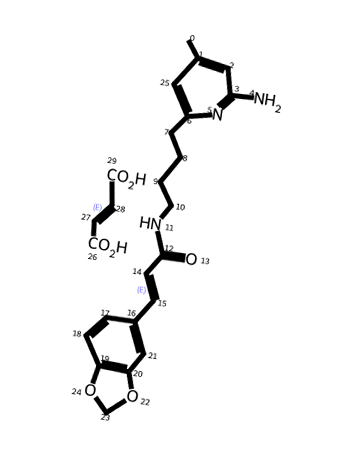 Cc1cc(N)nc(CCCCNC(=O)/C=C/c2ccc3c(c2)OCO3)c1.O=C(O)/C=C/C(=O)O